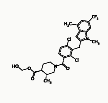 Cc1cc(C(F)(F)F)cc2c1cc(Cc1c(Cl)ccc(C(=O)N3CC[C@H](C(=O)OCO)[C@@H](C)C3)c1Cl)n2C